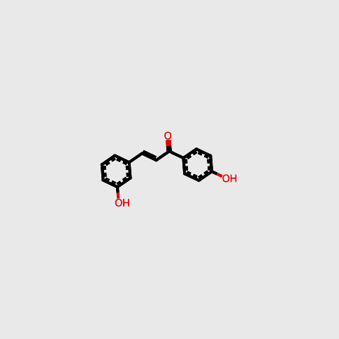 O=C(C=Cc1cccc(O)c1)c1ccc(O)cc1